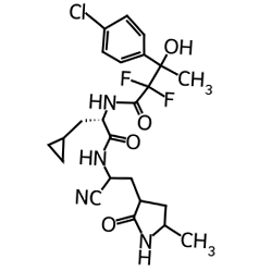 CC1CC(CC(C#N)NC(=O)[C@H](CC2CC2)NC(=O)C(F)(F)C(C)(O)c2ccc(Cl)cc2)C(=O)N1